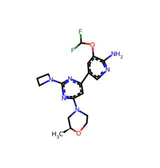 C[C@H]1CN(c2cc(-c3cnc(N)c(OC(F)F)c3)nc(N3CCC3)n2)CCO1